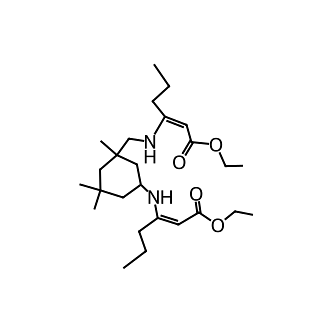 CCC/C(=C/C(=O)OCC)NCC1(C)CC(N/C(=C\C(=O)OCC)CCC)CC(C)(C)C1